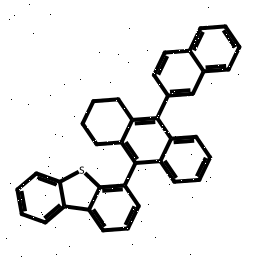 c1ccc2cc(-c3c4c(c(-c5cccc6c5sc5ccccc56)c5ccccc35)CCCC4)ccc2c1